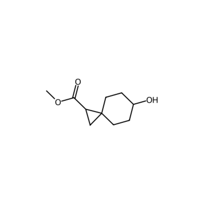 COC(=O)C1CC12CCC(O)CC2